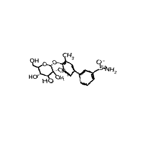 Cc1cc(-c2cccc([S+](N)[O-])c2)ccc1O[C@H]1OC(CO)[C@@H](O)C(O)[C@]1(C)O